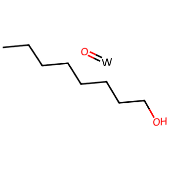 CCCCCCCCO.[O]=[W]